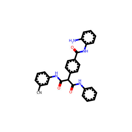 N#Cc1cccc(NC(=O)C(C(=O)Nc2ccccc2)c2ccc(C(=O)Nc3ccccc3N)cc2)c1